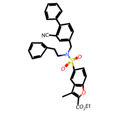 CCOC(=O)c1oc2ccc(S(=O)(=O)N(CCc3ccccc3)Cc3ccc(-c4ccccc4)c(C#N)c3)cc2c1C